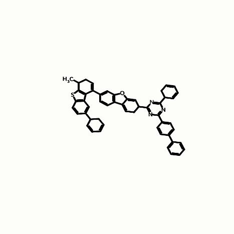 CC1CC=C(c2ccc3c4c(oc3c2)=CC(c2nc(-c3ccc(-c5ccccc5)cc3)nc(C3C=CC=CC3)n2)CC=4)c2c1sc1ccc(C3C=CC=CC3)cc21